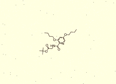 CCCCOc1cnc(C(=O)NCC(=O)OC(C)(C)C)c(OCCCC)c1